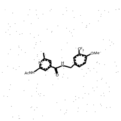 COc1ccc(CNC(=O)c2cc(C)nc(NC(C)=O)c2)cc1C(F)(F)F